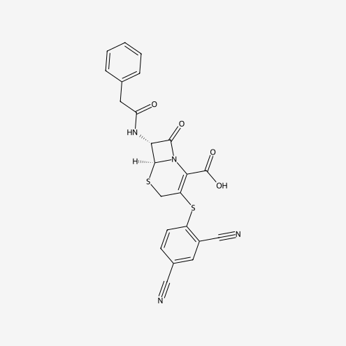 N#Cc1ccc(SC2=C(C(=O)O)N3C(=O)[C@@H](NC(=O)Cc4ccccc4)[C@@H]3SC2)c(C#N)c1